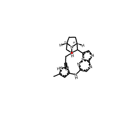 Cc1cc(Nc2cnc3ncc(C4NC[C@@H]5CC[C@H]4N5CCC#N)n3n2)n[nH]1